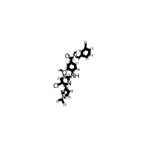 COc1cc(C(=O)N(C)Cc2cccc(C)c2)ccc1Nc1ncc(Cl)c(-c2ccn(C(C)C)n2)n1